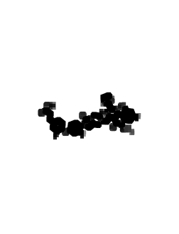 COC(=O)C1=C(CN2CCN3C(=O)N(c4ccc(Oc5ccc(CCC(=O)O)cc5F)cc4F)CC3C2)NC(c2nccs2)=NC1c1ccc(F)cc1Cl